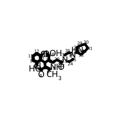 CC1=C(C(=O)O)C(c2c(Cl)cccc2Cl)C(C(=O)O)=C(CC(=O)N2CCN(C3CC4CCC(C3)N4)CC2)N1